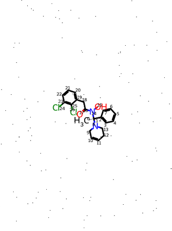 C[C@](c1ccccc1)(N1CC=CCC1)N(O)C(=O)Cc1cccc(Cl)c1Cl